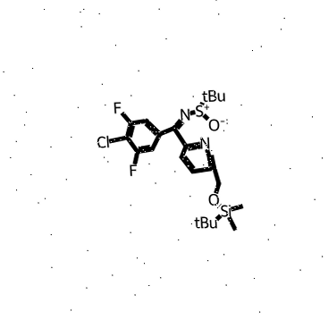 CC(C)(C)[S+]([O-])N=C(c1cc(F)c(Cl)c(F)c1)c1ccc(CO[Si](C)(C)C(C)(C)C)cn1